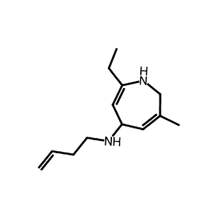 C=CCCNC1C=C(C)CNC(CC)=C1